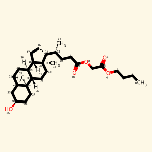 CCCCOC(=O)COC(=O)CC[C@@H](C)[C@H]1CC[C@H]2[C@@H]3CCC4C[C@H](O)CC[C@]4(C)[C@H]3CC[C@]12C